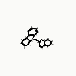 [c]1cccc2c1c1ccccc1n2-c1ccc2ccccc2n1